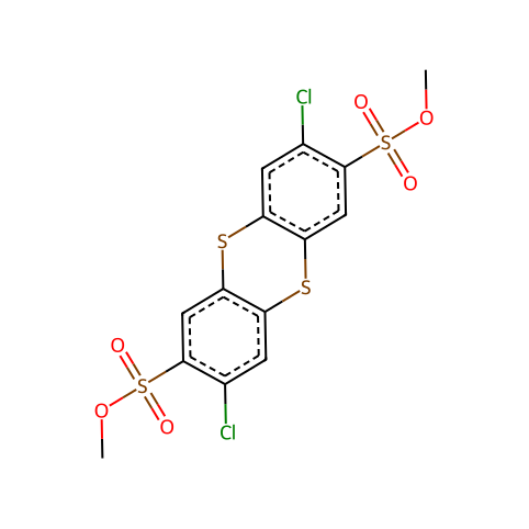 COS(=O)(=O)c1cc2c(cc1Cl)Sc1cc(S(=O)(=O)OC)c(Cl)cc1S2